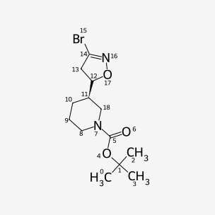 CC(C)(C)OC(=O)N1CCC[C@@H](C2CC(Br)=NO2)C1